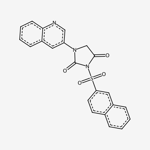 O=C1CN(c2cnc3ccccc3c2)C(=O)N1S(=O)(=O)c1ccc2ccccc2c1